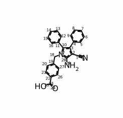 N#Cc1c(-c2ccccc2)c(-c2ccccc2)n(Cc2ccc(C(=O)O)cc2)c1N